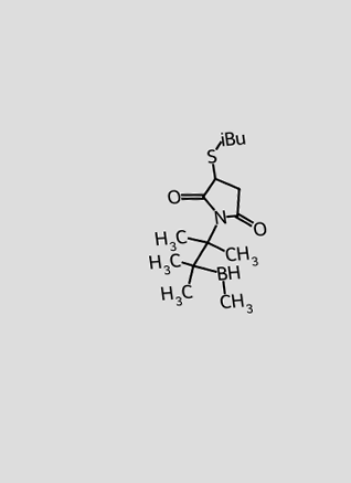 CBC(C)(C)C(C)(C)N1C(=O)CC(SC(C)CC)C1=O